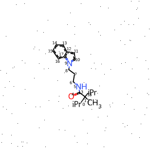 CC(C)C(C)(C(=O)NCCCn1ccc2ccccc21)C(C)C